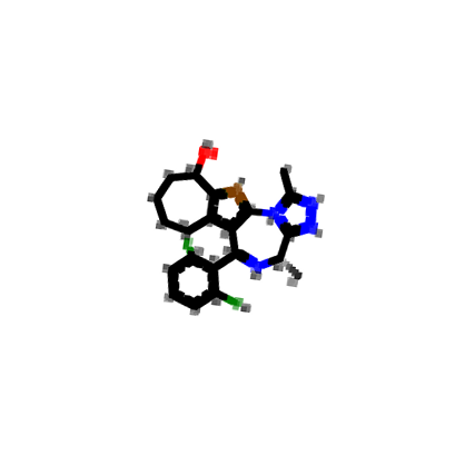 Cc1nnc2n1-c1sc3c(c1C(c1c(F)cccc1F)=N[C@H]2C)CCCCC3O